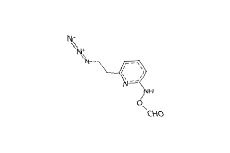 [N-]=[N+]=NCCc1cccc(NOC=O)n1